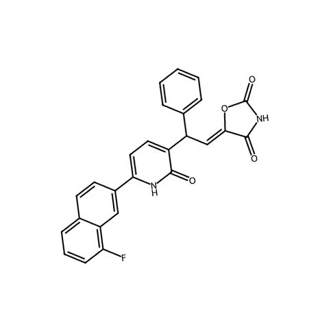 O=C1NC(=O)/C(=C/C(c2ccccc2)c2ccc(-c3ccc4cccc(F)c4c3)[nH]c2=O)O1